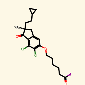 CCCCC1(CCC2CC2)Cc2cc(OCCCCCC(=O)I)c(Cl)c(Cl)c2C1=O